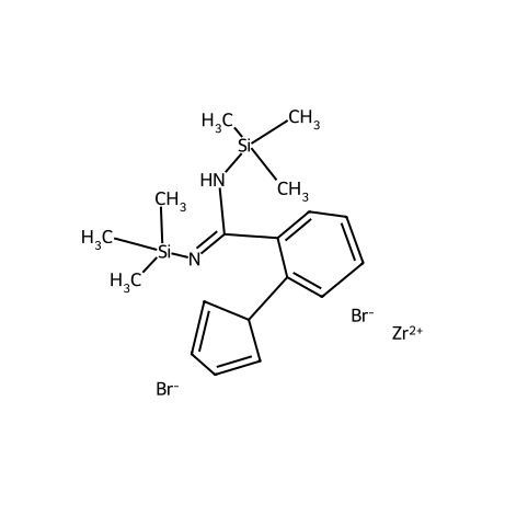 C[Si](C)(C)N=C(N[Si](C)(C)C)c1ccccc1C1C=CC=C1.[Br-].[Br-].[Zr+2]